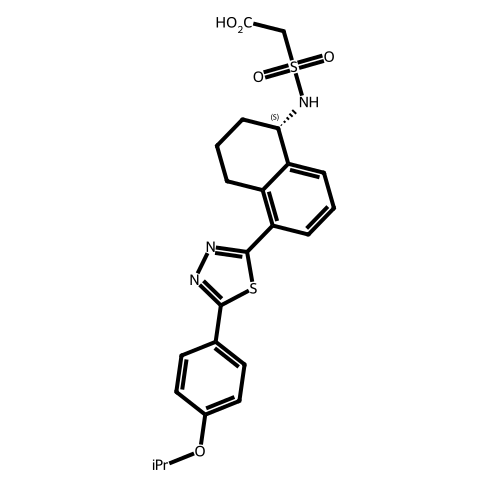 CC(C)Oc1ccc(-c2nnc(-c3cccc4c3CCC[C@@H]4NS(=O)(=O)CC(=O)O)s2)cc1